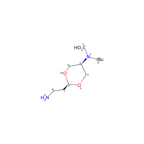 CC(C)(C)N(C(=O)O)[C@H]1CO[C@@H](CCN)OC1